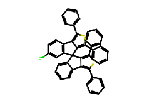 Clc1ccc2c(c1)C1(c3ccccc3-c3c(-c4ccccc4)sc(-c4ccccc4)c31)c1c(-c3ccccc3)sc(-c3ccccc3)c1-2